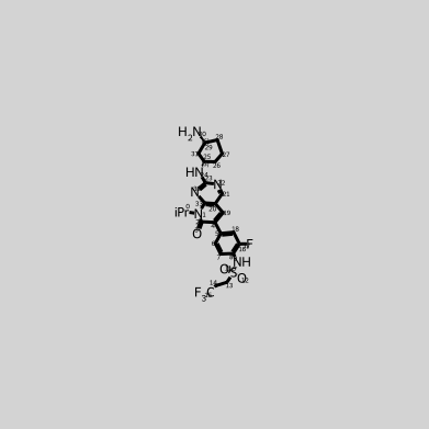 CC(C)n1c(=O)c(-c2ccc(NS(=O)(=O)CCC(F)(F)F)c(F)c2)cc2cnc(N[C@H]3CCC[C@H](N)C3)nc21